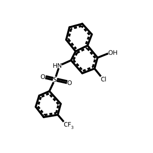 O=S(=O)(Nc1cc(Cl)c(O)c2ccccc12)c1cccc(C(F)(F)F)c1